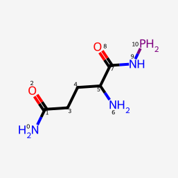 NC(=O)CCC(N)C(=O)NP